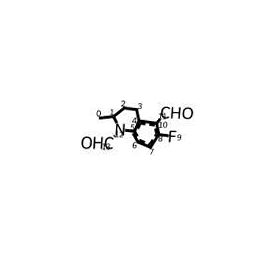 CC1CCc2c(ccc(F)c2C=O)N1C=O